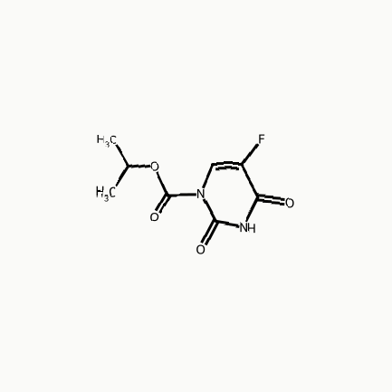 CC(C)OC(=O)n1cc(F)c(=O)[nH]c1=O